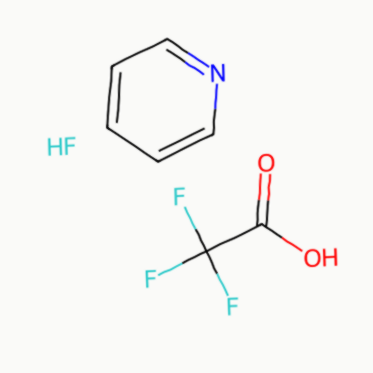 F.O=C(O)C(F)(F)F.c1ccncc1